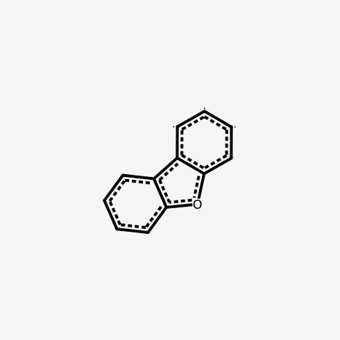 [c]1[c]cc2oc3ccccc3c2[c]1